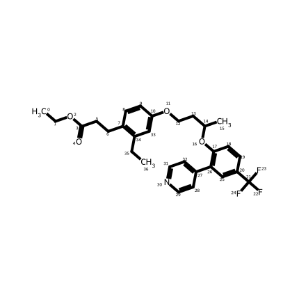 CCOC(=O)CCc1ccc(OCCC(C)Oc2ccc(C(F)(F)F)cc2-c2ccncc2)cc1CC